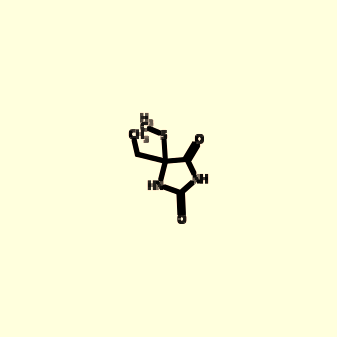 CCC1(SC)NC(=O)NC1=O